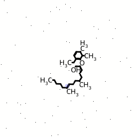 CCCCC/C(C)=C/CCC(C)CCCC(CO)OC1=C(CC)C=CC(C)C1C